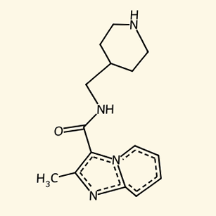 Cc1nc2ccccn2c1C(=O)NCC1CCNCC1